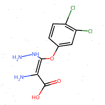 NN/C(Oc1ccc(Cl)c(Cl)c1)=C(\N)C(=O)O